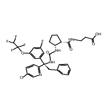 O=C(O)CCNC(=O)[C@H]1CCC[C@H]1NC(=O)N[C@@](Cc1ccccc1)(c1cc(F)cc(OC(F)(F)C(F)F)c1)c1ccc(Cl)cn1